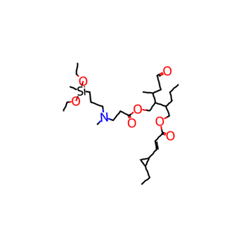 CCCC(COC(=O)/C=C/C1CC1CC)C(COC(=O)CCN(C)CCC[Si](C)(OCC)OCC)C(C)CC=O